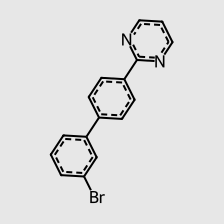 Brc1cccc(-c2ccc(-c3ncccn3)cc2)c1